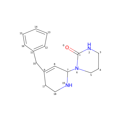 O=C1NCCCN1C1C=C(Cc2ccccc2)CCN1